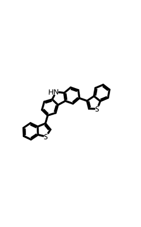 c1ccc2c(-c3ccc4[nH]c5ccc(-c6csc7ccccc67)cc5c4c3)csc2c1